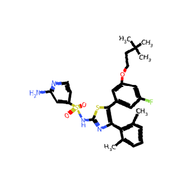 Cc1cccc(C)c1-c1nc(NS(=O)(=O)c2ccnc(N)c2)sc1-c1cc(F)cc(OCCC(C)(C)C)c1